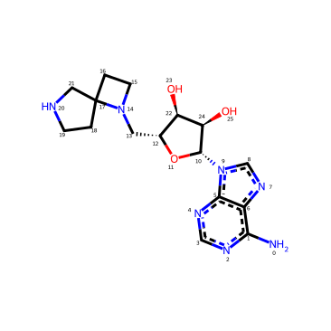 Nc1ncnc2c1ncn2[C@@H]1O[C@H](CN2CCC23CCNC3)[C@@H](O)[C@H]1O